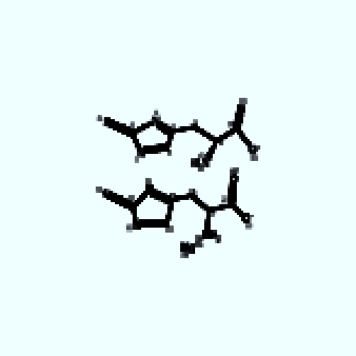 N[C@@H](CC1=NC(=S)N=C1)C(=O)[O-].N[C@@H](CC1=NC(=S)N=C1)C(=O)[O-].[Mg+2]